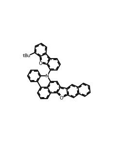 CC(C)(C)c1cccc2c1oc1c(N3c4ccccc4-c4cccc5c4c3cc3c4cc6ccccc6cc4oc53)cccc12